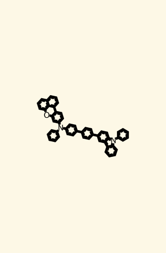 c1ccc(N(c2ccc(-c3ccc(-c4ccc5c(c4)c4ccccc4n5-c4ccccc4)cc3)cc2)c2ccc3c(c2)Oc2cccc4cccc-3c24)cc1